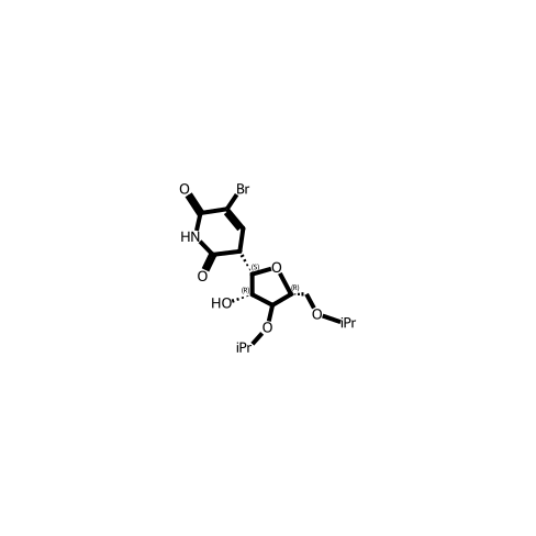 CC(C)OC[C@H]1O[C@@H](C2C=C(Br)C(=O)NC2=O)[C@@H](O)C1OC(C)C